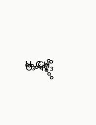 CC1(C)c2cc(-c3ccc4c(c3)oc3ccccc34)ccc2-c2ccc(N(c3ccc(-c4ccc(-c5ccccc5)cc4)cc3)c3ccc(-c4cccc5ccccc45)cc3)cc21